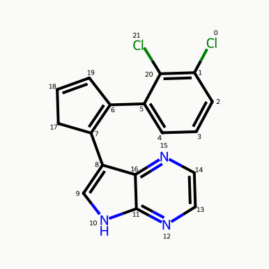 Clc1cccc(C2=C(c3c[nH]c4nccnc34)CC=C2)c1Cl